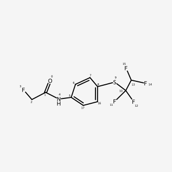 O=C(CF)Nc1ccc(SC(F)(F)C(F)F)cc1